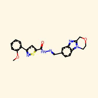 COc1ccccc1-c1cc(C(=O)NN=Cc2ccc3c(c2)nc2n3CCOC2)sn1